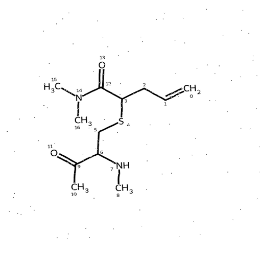 C=CCC(SCC(NC)C(C)=O)C(=O)N(C)C